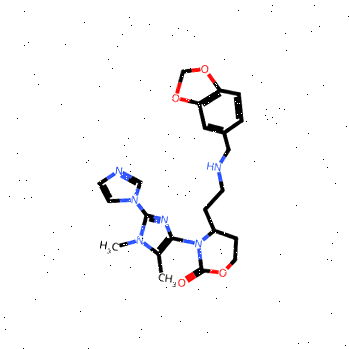 Cc1c(N2C(=O)OCCC2CCNCc2ccc3c(c2)OCO3)nc(-n2ccnc2)n1C